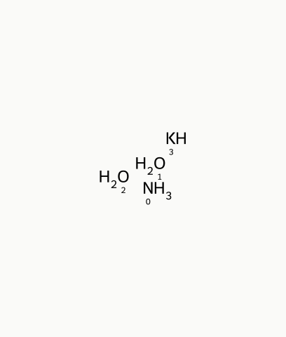 N.O.O.[KH]